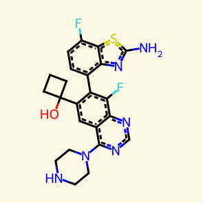 Nc1nc2c(-c3c(C4(O)CCC4)cc4c(N5CCNCC5)ncnc4c3F)ccc(F)c2s1